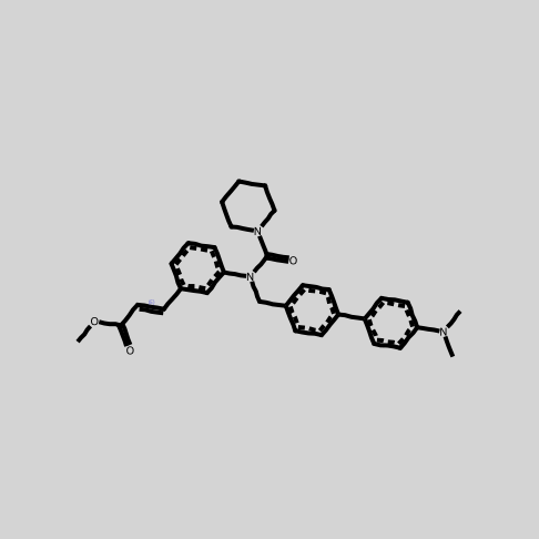 COC(=O)/C=C/c1cccc(N(Cc2ccc(-c3ccc(N(C)C)cc3)cc2)C(=O)N2CCCCC2)c1